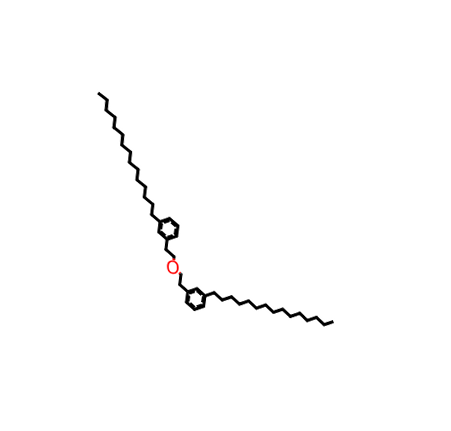 CCCCCCCCCCCCCCCc1cccc(CCOCCc2cccc(CCCCCCCCCCCCCCC)c2)c1